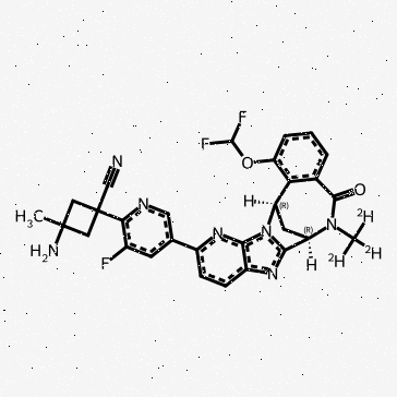 [2H]C([2H])([2H])N1C(=O)c2cccc(OC(F)F)c2[C@H]2C[C@@H]1c1nc3ccc(-c4cnc(C5(C#N)CC(C)(N)C5)c(F)c4)nc3n12